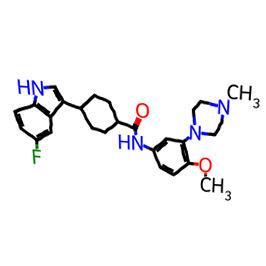 COc1ccc(NC(=O)C2CCC(c3c[nH]c4ccc(F)cc34)CC2)cc1N1CCN(C)CC1